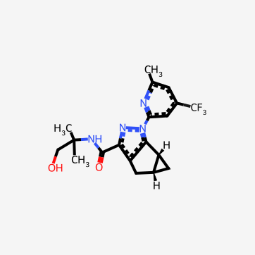 Cc1cc(C(F)(F)F)cc(-n2nc(C(=O)NC(C)(C)CO)c3c2[C@@H]2C[C@@H]2C3)n1